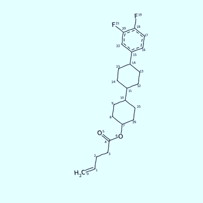 C=CCCC(=O)OC1CCC(C2CCC(c3ccc(F)c(F)c3)CC2)CC1